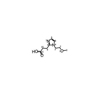 COCCn1ccnc1CCC(=O)O